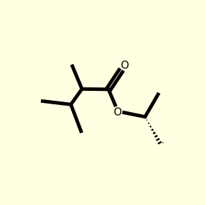 [CH2][C@@H](C)OC(=O)C(C)C(C)C